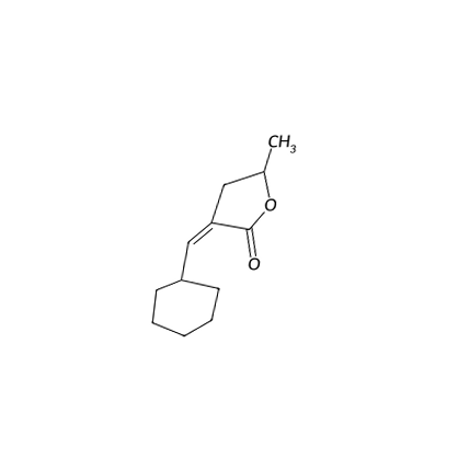 CC1CC(=CC2CCCCC2)C(=O)O1